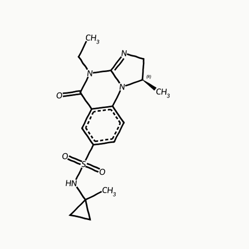 CCN1C(=O)c2cc(S(=O)(=O)NC3(C)CC3)ccc2N2C1=NC[C@H]2C